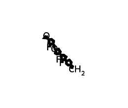 C=CC1CCC(c2ccc(-c3ccc(OCc4ccc(C5CO5)cc4F)cc3)c(F)c2F)CC1